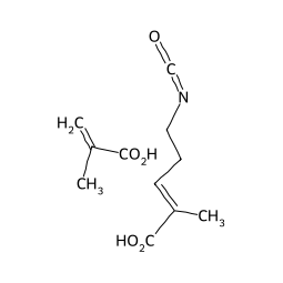 C=C(C)C(=O)O.CC(=CCCN=C=O)C(=O)O